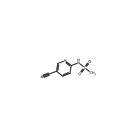 CS(=O)(=O)Nc1ccc(C#N)cn1